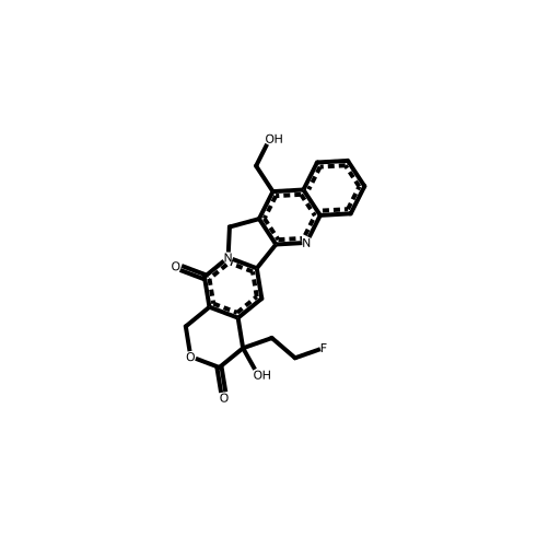 O=C1OCc2c(cc3n(c2=O)Cc2c-3nc3ccccc3c2CO)C1(O)CCF